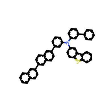 c1ccc(-c2cccc(N(c3cccc(-c4ccc5cc(-c6ccc7ccccc7c6)ccc5c4)c3)c3ccc4sc5ccccc5c4c3)c2)cc1